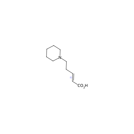 O=C(O)/C=C/CCN1CCCCC1